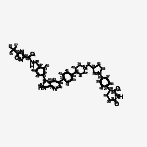 Cc1cc(-c2n[nH]c3ncc(-c4ccc(N5CCN(CC6CCN(c7ccc(C8CCC(=O)NC8=O)cc7)C6)CC5)cc4)cc23)ccc1CNC(=O)c1noc(C(C)(C)C)n1